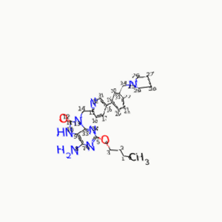 CCCCOc1nc(N)c2[nH]c(=O)n(Cc3ccc(-c4cccc(CN5CCCC5)c4)cn3)c2n1